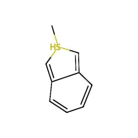 C[SH]1C=c2ccccc2=C1